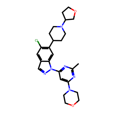 Cc1nc(N2CCOCC2)cc(-n2ncc3cc(Cl)c(C4CCN(C5CCOC5)CC4)cc32)n1